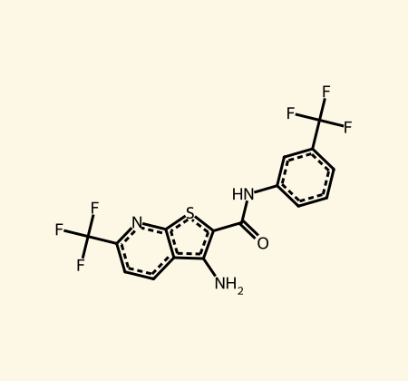 Nc1c(C(=O)Nc2cccc(C(F)(F)F)c2)sc2nc(C(F)(F)F)ccc12